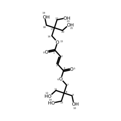 O=C(/C=C/C(=O)OCC(CO)(CO)CO)OCC(CO)(CO)CO